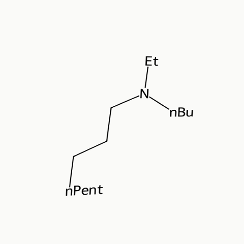 CCCCCCCCN(CC)CCCC